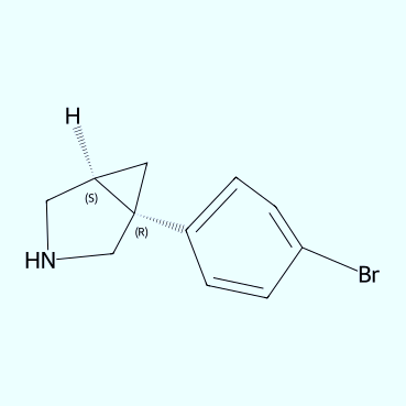 Brc1ccc([C@]23CNC[C@H]2C3)cc1